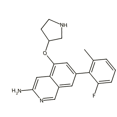 Cc1cccc(F)c1-c1cc(OC2CCNC2)c2cc(N)ncc2c1